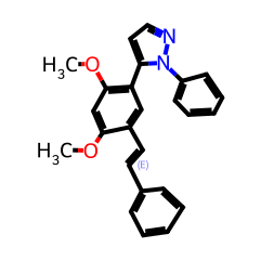 COc1cc(OC)c(-c2ccnn2-c2ccccc2)cc1/C=C/c1ccccc1